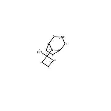 OC1(N2C3CCC2CNC3)CCC1